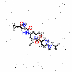 CCC1CC(NC(=O)c2cc(C3CC3)on2)CC(CC)N1S(=O)(=O)c1ccc(N(C)CC(C)C)nc1